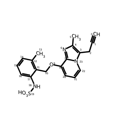 C#CCc1c(C)nc2c(OCc3c(C)cccc3NS(=O)(=O)O)cccn12